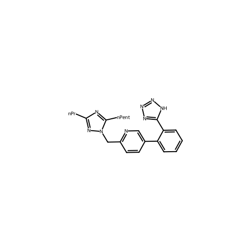 CCCCCc1nc(CCC)nn1Cc1ccc(-c2ccccc2-c2nnn[nH]2)cn1